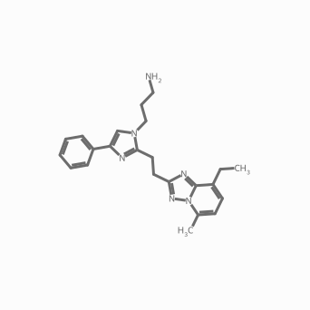 CCc1ccc(C)n2nc(CCc3nc(-c4ccccc4)cn3CCCN)nc12